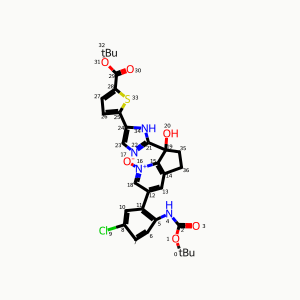 CC(C)(C)OC(=O)Nc1ccc(Cl)cc1-c1cc2c([n+]([O-])c1)C(O)(c1ncc(-c3ccc(C(=O)OC(C)(C)C)s3)[nH]1)CC2